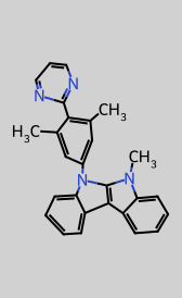 Cc1cc(-n2c3ccccc3c3c4ccccc4n(C)c32)cc(C)c1-c1ncccn1